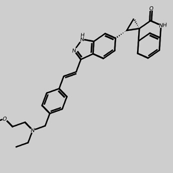 CCN(CCOC)Cc1ccc(/C=C/c2n[nH]c3cc([C@@H]4C[C@@]45C(=O)NC4=CC5CC=C4)ccc23)cc1